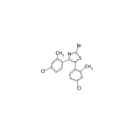 Cc1cc(Cl)ccc1-c1nc(Br)sc1-c1ccc(Cl)cc1C